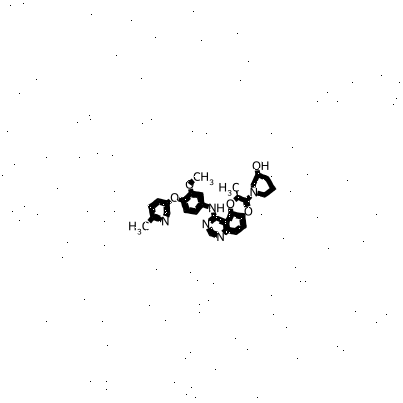 COc1cc(Nc2ncnc3cccc(O[C@H](C)C(=O)N4CCCC(O)C4)c23)ccc1Oc1ccc(C)nc1